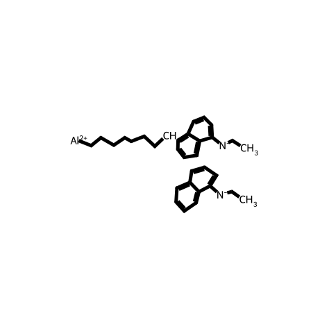 CCCCCCC[CH2][Al+2].CC[N-]c1cccc2ccccc12.CC[N-]c1cccc2ccccc12